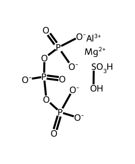 O=P([O-])([O-])OP(=O)([O-])OP(=O)([O-])[O-].O=S(=O)(O)O.[Al+3].[Mg+2]